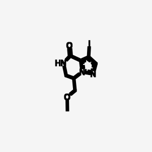 COCC1CNC(=O)c2c(I)cnn21